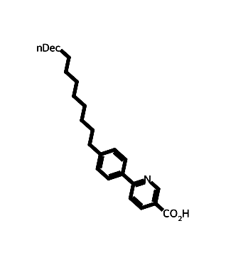 CCCCCCCCCCCCCCCCCCc1ccc(-c2ccc(C(=O)O)cn2)cc1